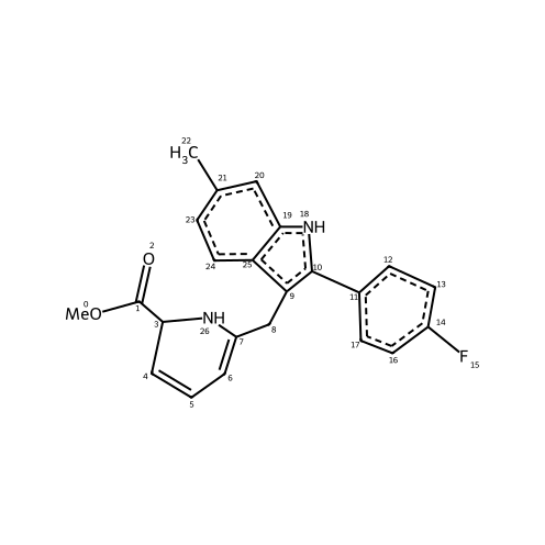 COC(=O)C1C=CC=C(Cc2c(-c3ccc(F)cc3)[nH]c3cc(C)ccc23)N1